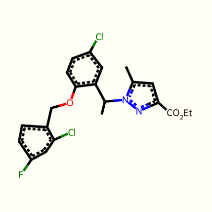 CCOC(=O)c1cc(C)n(C(C)c2cc(Cl)ccc2OCc2ccc(F)cc2Cl)n1